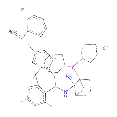 Cc1cc(C)c(C2NC3(NC2c2c(C)cc(C)cc2C)C2CCCC3(P(C3CCCCC3)C3CCCCC3)C2)c(C)c1.[Cl-].[Cl-].[Ru+2]=[CH]c1ccccc1